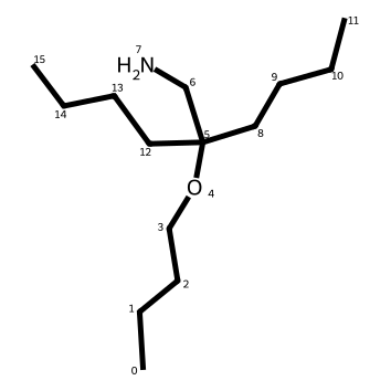 CCCCOC(CN)(CCCC)CCCC